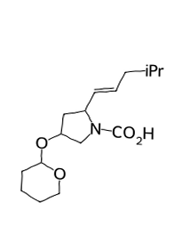 CC(C)CC=CC1CC(OC2CCCCO2)CN1C(=O)O